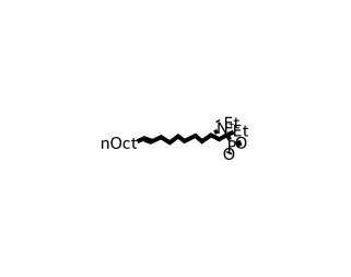 CCCCCCCCC=CCCCCCCCCC(CC)(P(=O)=O)[N+](C)(C)CC